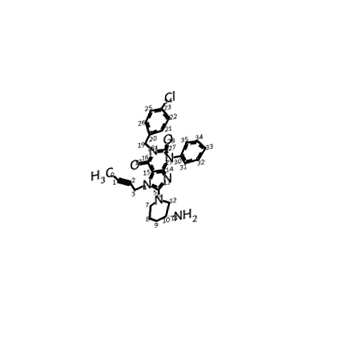 CC#CCn1c(N2CCC[C@@H](N)C2)nc2c1c(=O)n(Cc1ccc(Cl)cc1)c(=O)n2-c1ccccc1